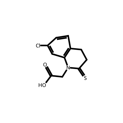 O=C(O)CN1C(=S)CCc2ccc(Cl)cc21